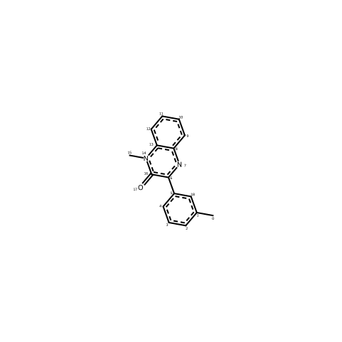 Cc1cccc(-c2nc3ccccc3n(C)c2=O)c1